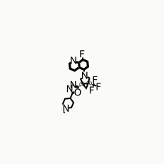 CN1CCC(c2nnc([C@]34CN(c5ccc(F)c6ncccc56)C[C@@]3(C(F)(F)F)C4)o2)CC1